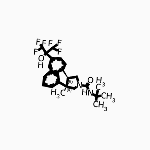 CC(C)(C)NC(=O)N1C[C@H](c2ccc(C(O)(C(F)(F)F)C(F)(F)F)cc2)[C@](C)(c2ccccc2)C1